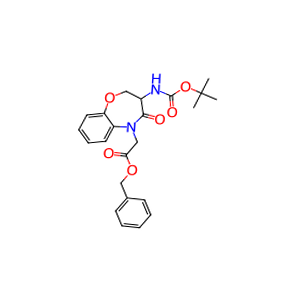 CC(C)(C)OC(=O)NC1COc2ccccc2N(CC(=O)OCc2ccccc2)C1=O